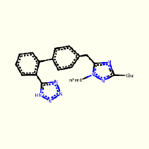 CCCCCn1nc(C(C)(C)C)nc1Cc1ccc(-c2ccccc2-c2nnn[nH]2)cc1